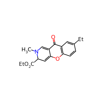 CCOC(=O)C1C=c2oc3ccc(CC)cc3c(=O)c2=CN1C